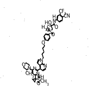 C[C@@H]1COCCN1c1cc(C2(S(C)(=N)=O)CC2)nc(-c2ccnc3c2ccn3CCCCCOc2ccc(S(=O)(=O)C[C@](C)(O)C(=O)Nc3ccc(C#N)c(C(F)(F)F)c3)cc2)n1